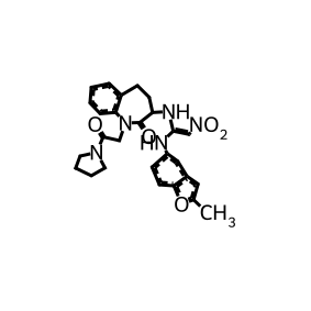 Cc1cc2cc(N/C(=C/[N+](=O)[O-])NC3CCc4ccccc4N(CC(=O)N4CCCC4)C3=O)ccc2o1